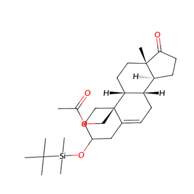 CC(=O)OC[C@]12CCC(O[Si](C)(C)C(C)(C)C)CC1=CC[C@@H]1[C@H]2CC[C@]2(C)C(=O)CC[C@@H]12